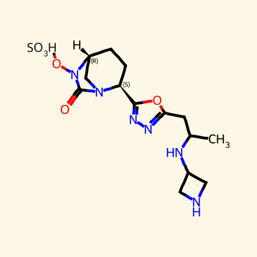 CC(Cc1nnc([C@@H]2CC[C@@H]3CN2C(=O)N3OS(=O)(=O)O)o1)NC1CNC1